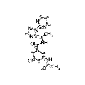 CC(=O)Nc1cc(Cl)cc(C(=O)NC(C)c2ncnn2-c2ncccn2)c1